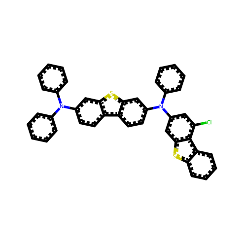 Clc1cc(N(c2ccccc2)c2ccc3c(c2)sc2cc(N(c4ccccc4)c4ccccc4)ccc23)cc2sc3ccccc3c12